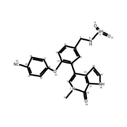 Cn1cc(-c2cc(CN[SH](=O)=O)ccc2Oc2ccc(C#N)cc2)c2cc[nH]c2c1=O